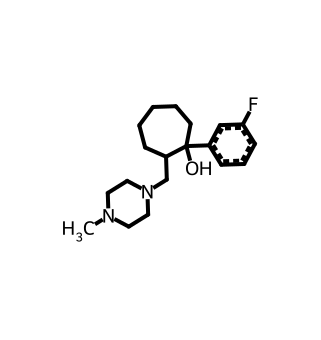 CN1CCN(CC2CCCCCC2(O)c2cccc(F)c2)CC1